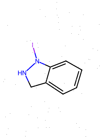 IN1NCc2ccccc21